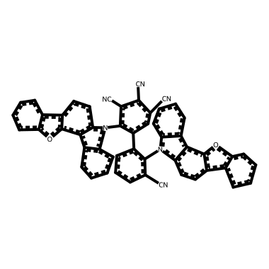 N#Cc1cc(-c2cccc(C#N)c2-n2c3ccccc3c3c4oc5ccccc5c4ccc32)c(-n2c3ccccc3c3c4oc5ccccc5c4ccc32)c(C#N)c1C#N